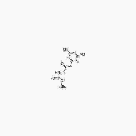 CC(C)(C)OC(=O)NCC(=O)Cc1cc(Cl)cc(Cl)c1